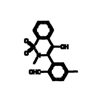 Cc1ccc(C=O)c(C2=C(O)c3ccccc3S(=O)(=O)N2C)c1